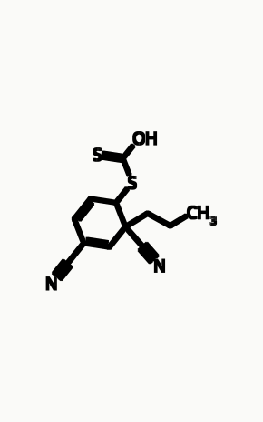 CCCC1(C#N)C=C(C#N)C=CC1SC(O)=S